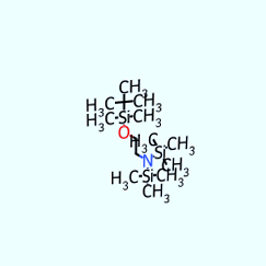 CC(C)(C)[Si](C)(C)OCCN([Si](C)(C)C)[Si](C)(C)C